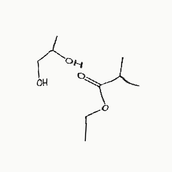 CC(O)CO.CCOC(=O)C(C)C